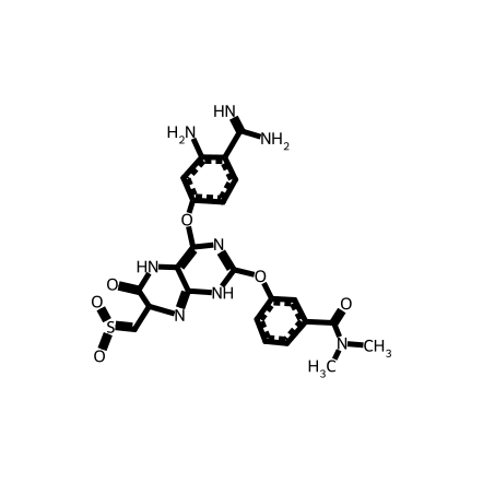 CN(C)C(=O)c1cccc(OC2=NC(Oc3ccc(C(=N)N)c(N)c3)=C3NC(=O)C(C=S(=O)=O)N=C3N2)c1